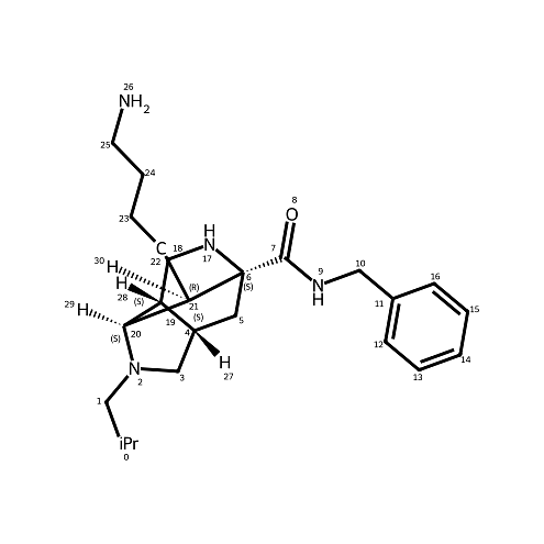 CC(C)CN1C[C@H]2C[C@]3(C(=O)NCc4ccccc4)NC[C@H]2[C@H]1[C@H]3CCCCN